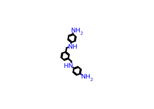 Nc1ccc(NCc2cccc(CNc3ccc(N)cc3)c2)cc1